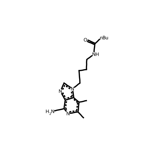 CCCCC(=O)NCCCCn1cnc2c(N)nc(C)c(C)c21